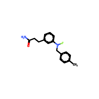 Cc1ccc(CN(F)c2cccc(CCC(N)=O)c2)cc1